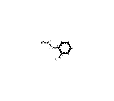 CCCC(C)Oc1ccccc1Cl